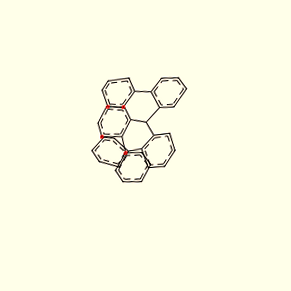 c1ccc(-c2ccccc2C(c2ccccc2-c2ccccc2)c2ccccc2-c2ccccc2)cc1